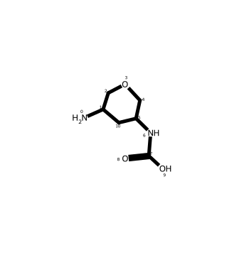 NC1COCC(NC(=O)O)C1